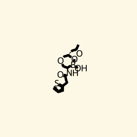 CC(=O)C[C@H]1COC[C@H](NC(=O)Cc2cccs2)B(O)O1